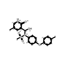 Cc1ccc(Oc2ccc(N(C(O)c3cc(C)c[nH]c3=O)S(C)(=O)=O)cc2)cc1